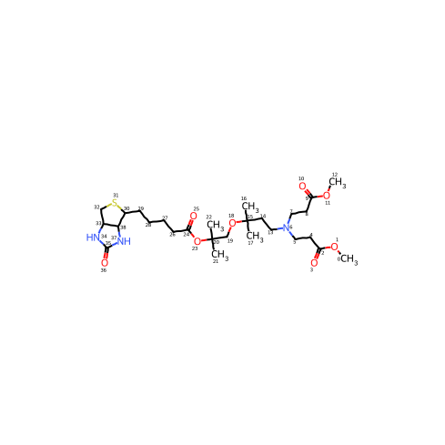 COC(=O)CCN(CCC(=O)OC)CCC(C)(C)OCC(C)(C)OC(=O)CCCCC1SCC2NC(=O)NC21